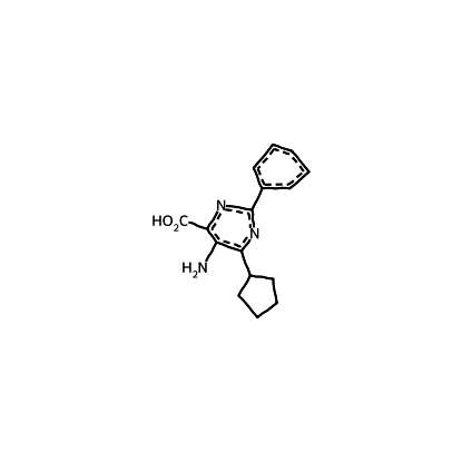 Nc1c(C(=O)O)nc(-c2ccccc2)nc1C1CCCC1